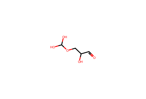 O=CC(O)COC(O)O